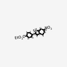 CCOC(=O)c1ccc(-c2cc3ccc([N+](=O)[O-])cc3[se]2)cc1